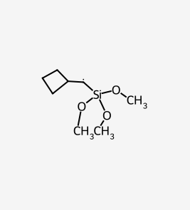 CO[Si]([CH]C1CCC1)(OC)OC